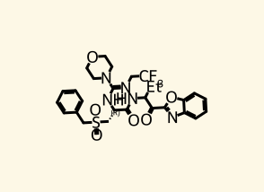 CCC(NC(=O)[C@H](CS(=O)(=O)Cc1ccccc1)NC(=NCC(F)(F)F)N1CCOCC1)C(=O)c1nc2ccccc2o1